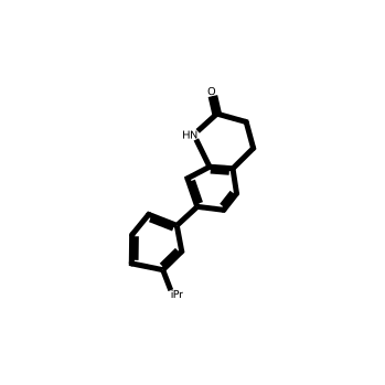 CC(C)c1cccc(-c2ccc3c(c2)NC(=O)CC3)c1